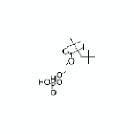 CC(C)(C)CC(I)(C(=O)OCCOO[PH](=O)O)C(C)(C)C